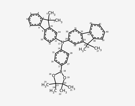 CC1(C)c2ccccc2-c2ccc(N(c3ccc(B4OC(C)(C)C(C)(C)O4)cc3)c3ccc4c(c3)C(C)(C)c3ccccc3-4)cc21